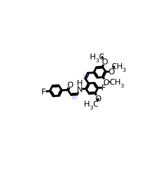 COc1cc(N/C=C\C(=O)c2ccc(F)cc2)c(/C=C\c2cc(OC)c(OC)c(OC)c2)cc1F